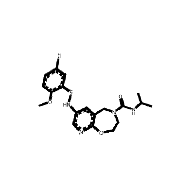 COc1ccc(Cl)cc1SNc1cnc2c(c1)CN(C(=O)NC(C)C)CCO2